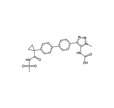 Cn1nnc(-c2ccc(-c3ccc(C4(C(=O)NS(C)(=O)=O)CC4)cc3)cc2)c1NC(=O)O